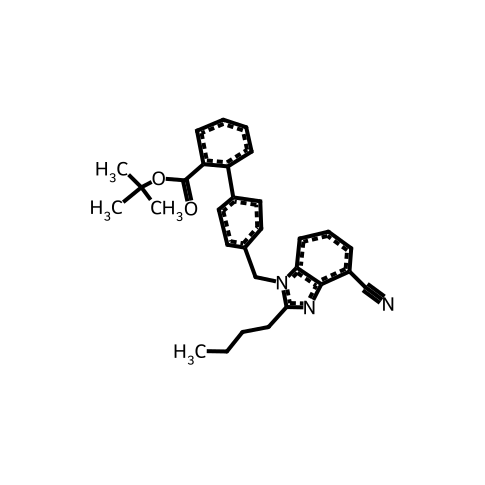 CCCCc1nc2c(C#N)cccc2n1Cc1ccc(-c2ccccc2C(=O)OC(C)(C)C)cc1